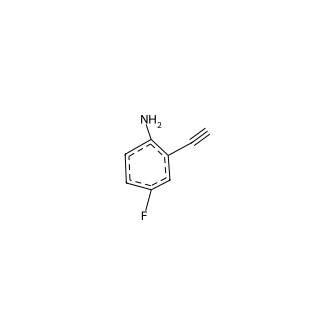 C#Cc1cc(F)ccc1N